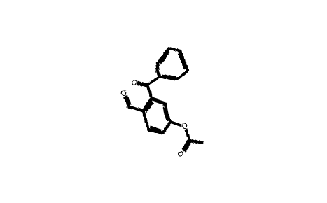 CC(=O)Oc1ccc([C]=O)c(C(=O)c2ccccc2)c1